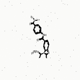 CCCCCC(C)n1c(C)nc2ccc(C(=O)Nc3ccc(C(=O)N(CC)CC)cc3)cc21